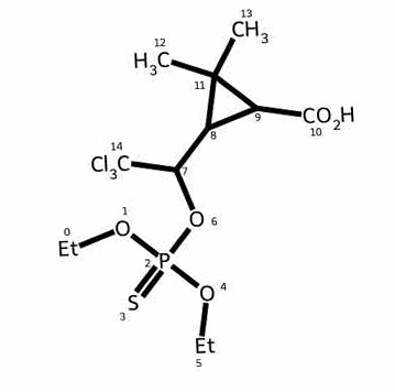 CCOP(=S)(OCC)OC(C1C(C(=O)O)C1(C)C)C(Cl)(Cl)Cl